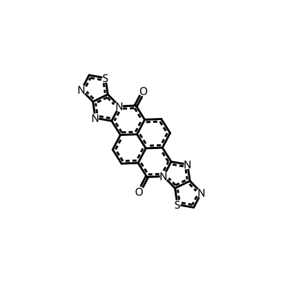 O=c1c2ccc3c4c(ccc(c24)c2nc4ncsc4n12)c(=O)n1c3nc2ncsc21